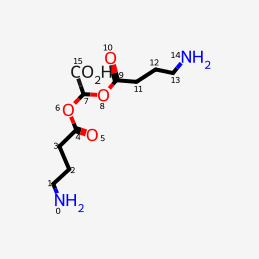 NCCCC(=O)OC(OC(=O)CCCN)C(=O)O